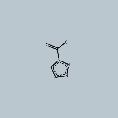 CC(=O)n1c[c]nn1